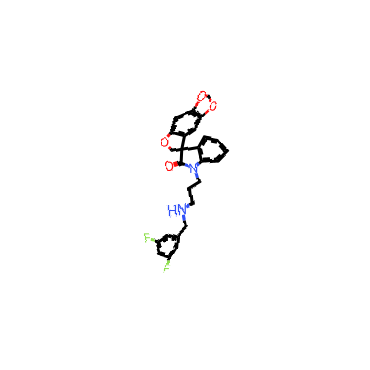 O=C1N(CCCNCc2cc(F)cc(F)c2)c2ccccc2C12COc1cc3c(cc12)OCO3